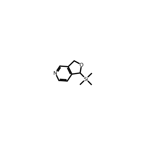 C[Si](C)(C)C1OCc2cnccc21